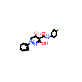 O=C(Nc1ccc(F)cc1)c1c(O)c[n+](-c2ccccc2)nc1O